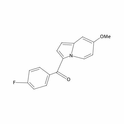 COc1ccn2c(C(=O)c3ccc(F)cc3)ccc2c1